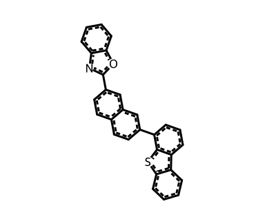 c1ccc2oc(-c3ccc4ccc(-c5cccc6c5sc5ccccc56)cc4c3)nc2c1